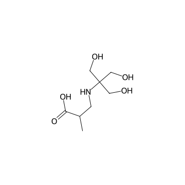 CC(CNC(CO)(CO)CO)C(=O)O